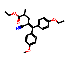 CCOC(=O)C(C)CC(C#N)=C(c1ccc(OC)cc1)c1ccc(OCC)cc1